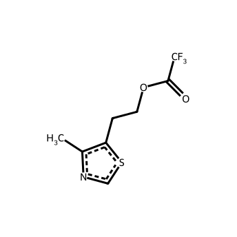 Cc1ncsc1CCOC(=O)C(F)(F)F